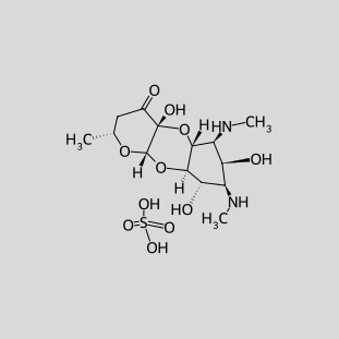 CN[C@@H]1[C@H](O)[C@H](NC)[C@H]2O[C@@]3(O)C(=O)C[C@@H](C)O[C@H]3O[C@@H]2[C@H]1O.O=S(=O)(O)O